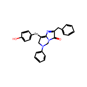 O=C1C(Cc2ccccc2)=NC2=C([Se]c3ccc(O)cc3)CN(c3ccccc3)CN12